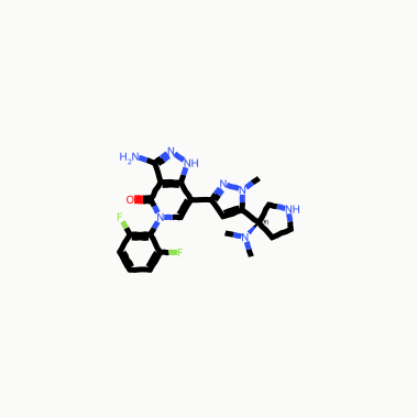 CN(C)[C@]1(c2cc(-c3cn(-c4c(F)cccc4F)c(=O)c4c(N)n[nH]c34)nn2C)CCNC1